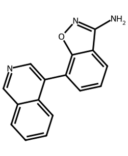 Nc1noc2c(-c3cncc4ccccc34)cccc12